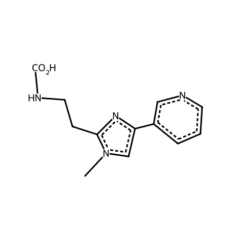 Cn1cc(-c2cccnc2)nc1CCNC(=O)O